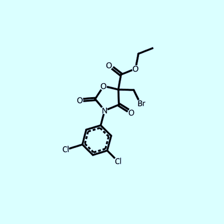 CCOC(=O)C1(CBr)OC(=O)N(c2cc(Cl)cc(Cl)c2)C1=O